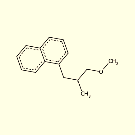 COC[C](C)Cc1cccc2ccccc12